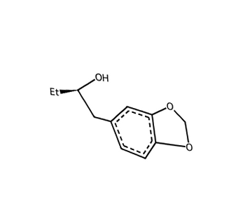 CC[C@@H](O)Cc1ccc2c(c1)OCO2